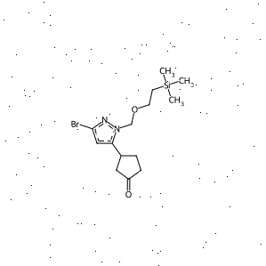 C[Si](C)(C)CCOCn1nc(Br)cc1C1CCC(=O)C1